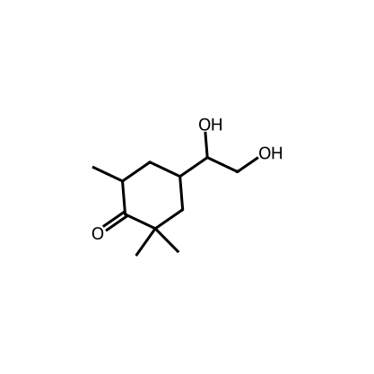 CC1CC(C(O)CO)CC(C)(C)C1=O